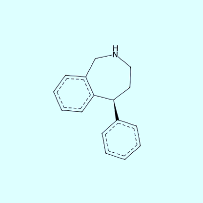 c1ccc([C@@H]2CCNCc3ccccc32)cc1